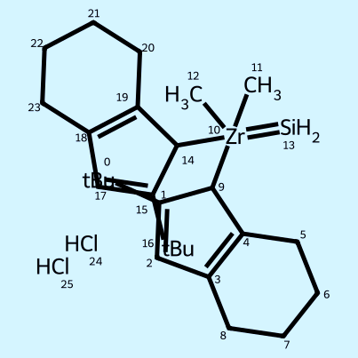 CC(C)(C)C1=CC2=C(CCCC2)[CH]1[Zr]([CH3])([CH3])(=[SiH2])[CH]1C(C(C)(C)C)=CC2=C1CCCC2.Cl.Cl